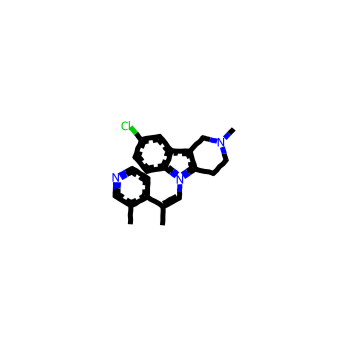 C/C(=C/n1c2c(c3cc(Cl)ccc31)CN(C)CC2)c1ccncc1C